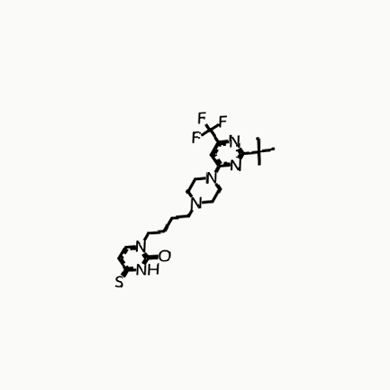 CC(C)(C)c1nc(N2CCN(CCCCn3ccc(=S)[nH]c3=O)CC2)cc(C(F)(F)F)n1